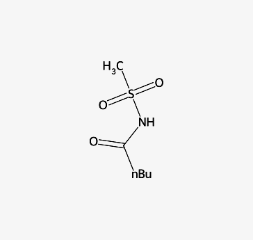 CCCCC(=O)NS(C)(=O)=O